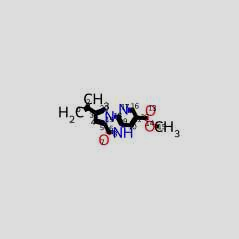 C=C(C)c1cc2c(=O)[nH]c3cc(C(=O)OC)cnc3n2c1